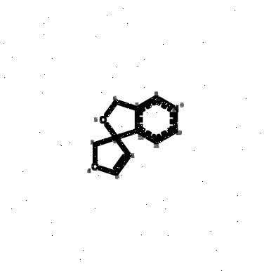 C1=CC2(CO1)OCc1cnccc12